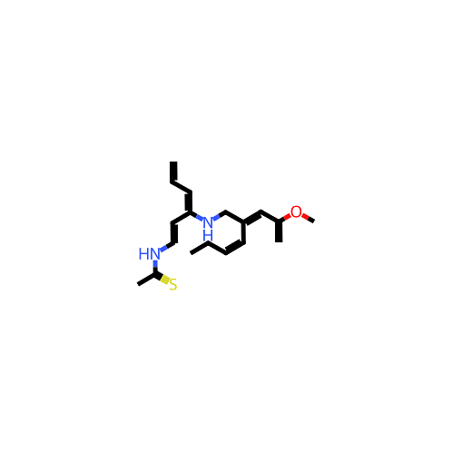 C=C/C=C(\C=C\NC(C)=S)NCC(/C=C\CC)=C/C(=C)OC